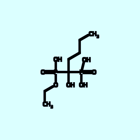 CCCCC(O)(P(=O)(O)O)P(=O)(O)OCC